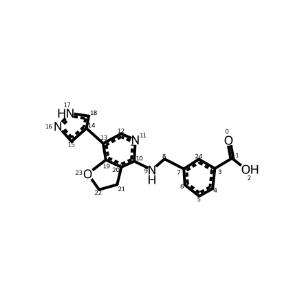 O=C(O)c1cccc(CNc2ncc(-c3cn[nH]c3)c3c2CCO3)c1